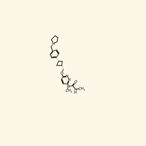 CNC(=O)N(C)c1ccc(OC[C@H]2C[C@@H](c3ccc(CN4CCCC4)cc3)C2)nn1